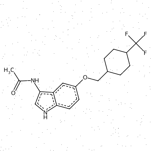 CC(=O)Nc1c[nH]c2ccc(OCC3CCC(C(F)(F)F)CC3)cc12